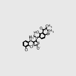 CN(C)C(=O)c1c(Br)ccc(N(C)c2n[s+]([O-])nc2Nc2cccc(Cl)c2Cl)c1O